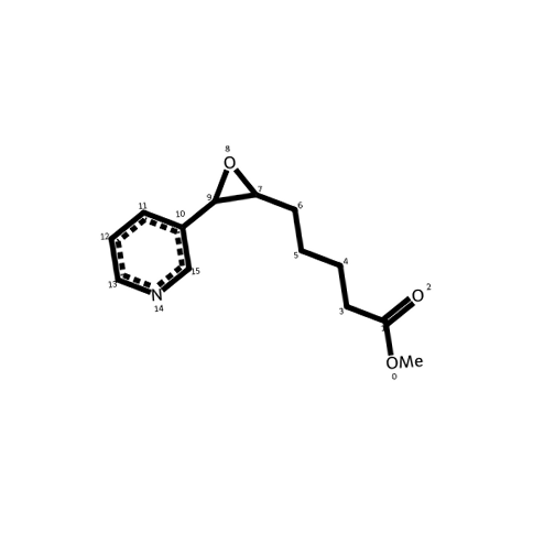 COC(=O)CCCCC1OC1c1cccnc1